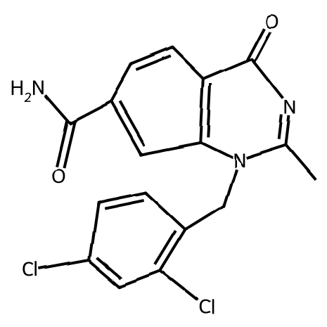 Cc1nc(=O)c2ccc(C(N)=O)cc2n1Cc1ccc(Cl)cc1Cl